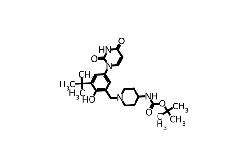 CC(C)(C)OC(=O)NC1CCN(Cc2cc(-n3ccc(=O)[nH]c3=O)cc(C(C)(C)C)c2O)CC1